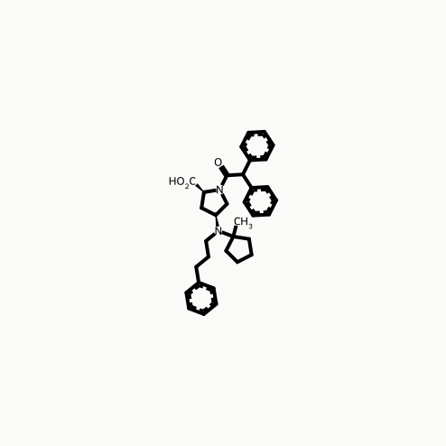 CC1(N(CCCc2ccccc2)[C@H]2C[C@@H](C(=O)O)N(C(=O)C(c3ccccc3)c3ccccc3)C2)CCCC1